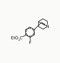 CCOC(=O)c1ccc(C2=CN3CCC2CC3)cc1F